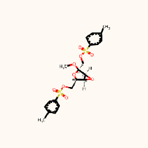 CO[C@]1(COS(=O)(=O)c2ccc(C)cc2)O[C@H](COS(=O)(=O)c2ccc(C)cc2)[C@@H]2O[C@@H]21